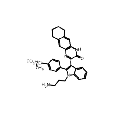 CC(=O)O.NCCCn1c(-c2ccc(Cl)cc2)c(-c2nc3cc4c(cc3[nH]c2=O)CCCC4)c2ccccc21